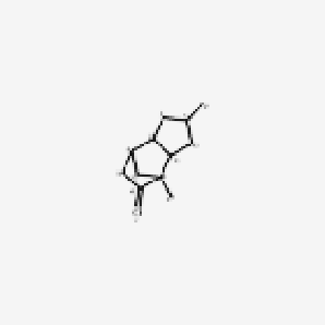 CC1CC2C3CC(=O)C(C)(C3)C2C1